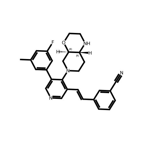 Cc1cc(F)cc(-c2cncc(C=Cc3cccc(C#N)c3)c2N2CC[C@H]3NCCO[C@@H]3C2)c1